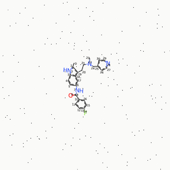 Cc1[nH]c2ccc(NC(=O)c3ccc(F)cc3)cc2c1CCN(C)Cc1ccncc1